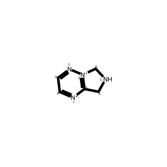 C1=N[N+]2=C(CNC2)[N+]=C1